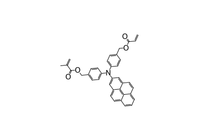 C=CC(=O)OCc1ccc(N(c2ccc(COC(=O)C(=C)C)cc2)c2cc3ccc4cccc5ccc(c2)c3c45)cc1